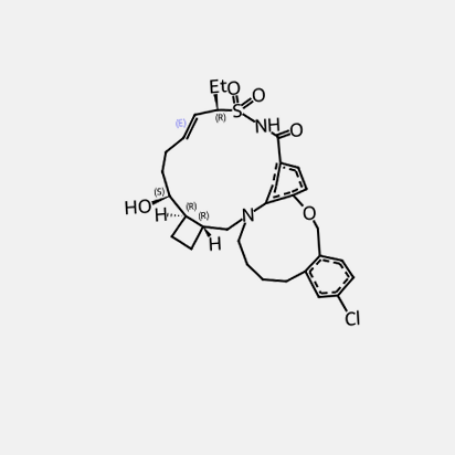 CC[C@@H]1/C=C/CC[C@H](O)[C@@H]2CC[C@H]2CN2CCCCc3cc(Cl)ccc3COc3ccc(cc32)C(=O)NS1(=O)=O